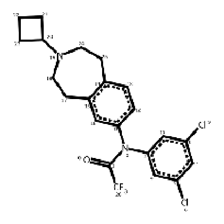 O=C(N(c1cc(Cl)cc(Cl)c1)c1ccc2c(c1)CCN(C1CCC1)CC2)C(F)(F)F